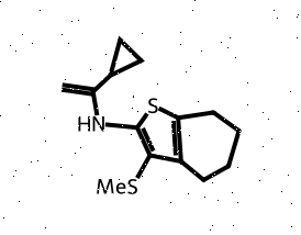 C=C(Nc1sc2c(c1SC)CCCC2)C1CC1